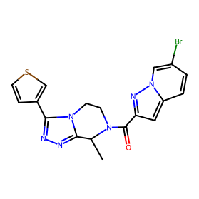 CC1c2nnc(-c3ccsc3)n2CCN1C(=O)c1cc2ccc(Br)cn2n1